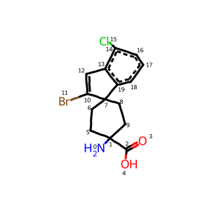 NC1(C(=O)O)CCC2(CC1)C(Br)=Cc1c(Cl)cccc12